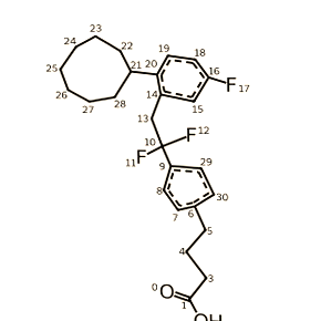 O=C(O)CCCc1ccc(C(F)(F)Cc2cc(F)ccc2C2CCCCCCC2)cc1